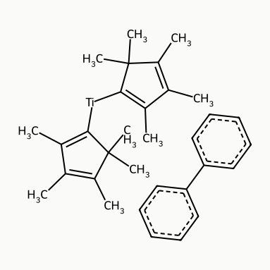 CC1=C(C)C(C)(C)[C]([Ti][C]2=C(C)C(C)=C(C)C2(C)C)=C1C.c1ccc(-c2ccccc2)cc1